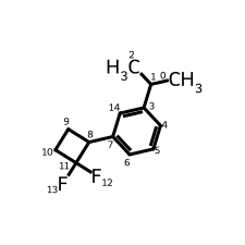 CC(C)c1cccc(C2CCC2(F)F)c1